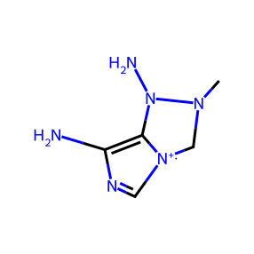 CN1C[N+]2C=NC(N)=C2N1N